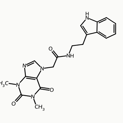 Cn1c(=O)c2c(ncn2CC(=O)NCCc2c[nH]c3ccccc23)n(C)c1=O